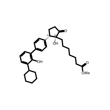 COC(=O)CCCCCC[C@]1(O)C(=O)CC[C@H]1c1ccc(-c2cccc(C3CCCCC3)c2O)cc1